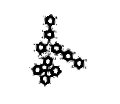 C1=CCC2C(=C1)c1ccccc1C21c2ccccc2-c2c1ccc1c2Oc2cccc(N(c3ccc(-c4ccccc4)cc3)c3ccc(-c4ccc(-c5ccccc5)cc4)cc3)c2O1